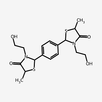 CC1SC(c2ccc(C3SC(C)C(=O)N3CCO)cc2)N(CCO)C1=O